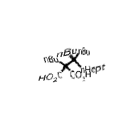 CCCCCCCC(CCCC)(CCCC)C(CCCC)(C(=O)O)C(=O)O